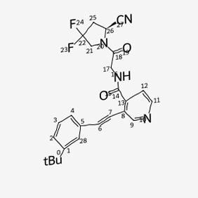 CC(C)(C)c1cccc(C#Cc2cnccc2C(=O)NCC(=O)N2CC(F)(F)C[C@H]2C#N)c1